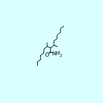 CCCCCCC(C)C(C(N)=O)C(C)CCCCCC